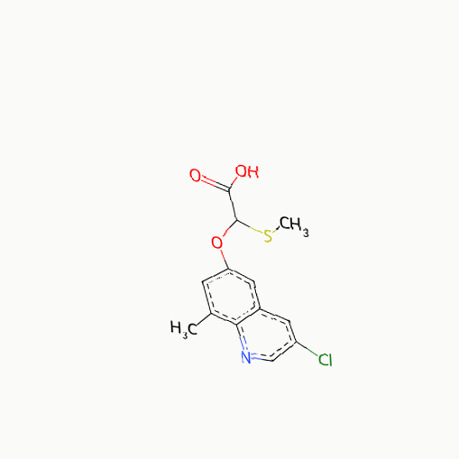 CSC(Oc1cc(C)c2ncc(Cl)cc2c1)C(=O)O